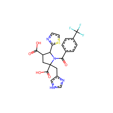 O=C(O)C1CC(Cc2c[nH]cn2)(C(=O)O)N(C(=O)c2ccc(C(F)(F)F)cc2)C1c1nccs1